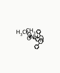 CC(C)COC(=O)NCc1cc2c3c(c1)C(c1ccccc1)CCN3CCC2c1ccccc1